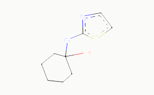 OC1(Nc2nccs2)CCCCC1